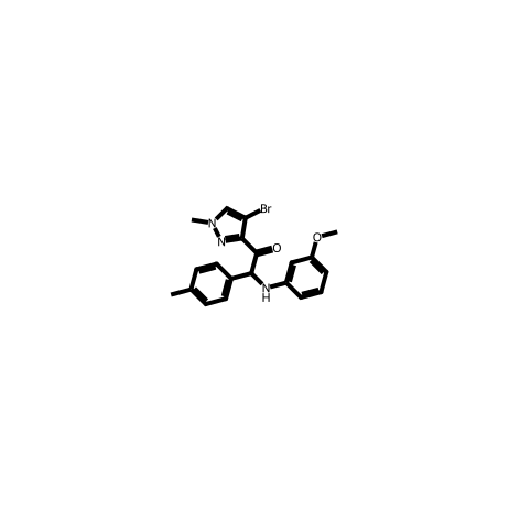 COc1cccc(NC(C(=O)c2nn(C)cc2Br)c2ccc(C)cc2)c1